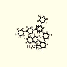 CC1(C)c2cccc(-c3cccc(-c4cc(-c5ccccc5)nc(-c5ccc(-c6ccccc6)cc5)n4)c3)c2-c2ccc3ccccc3c21